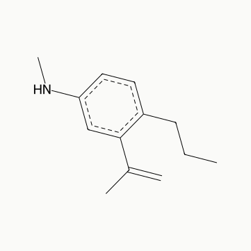 C=C(C)c1cc(NC)ccc1CCC